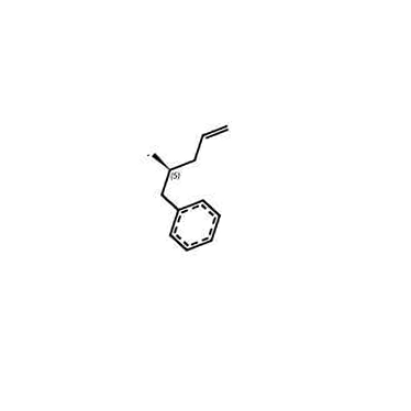 [CH2][C@@H](CC=C)Cc1ccccc1